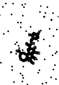 CCN1C(=O)c2c(O)c(=O)c(C(=O)NCc3ccc(F)cc3F)cn2N2C[C@@H](O)CCCC[C@@H]12